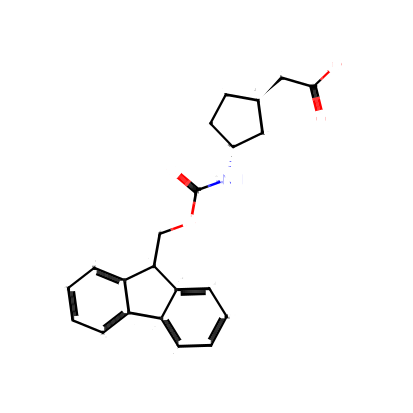 O=C(O)C[C@@H]1CC[C@@H](NC(=O)OCC2c3ccccc3-c3ccccc32)C1